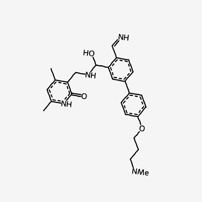 CNCCCOc1ccc(-c2ccc(C=N)c(C(O)NCc3c(C)cc(C)[nH]c3=O)c2)cc1